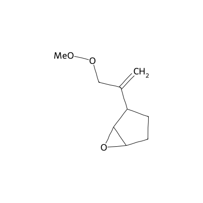 C=C(COOC)C1CCC2OC21